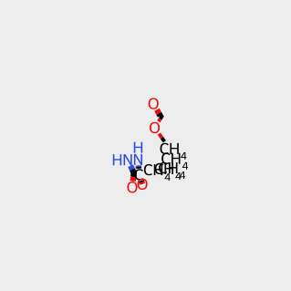 C.C.C.C.C.COC=O.N=C=O.N=C=O